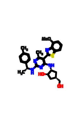 COc1cccc2sc(-c3c(C)nc(N[C@H](C)c4ccc(C)cc4)nc3N[C@@H]3C[C@H](CO)C[C@H]3O)nc12